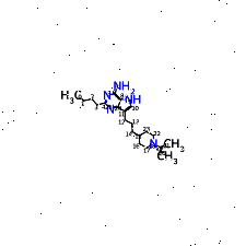 CCCCc1nc(N)c2[nH]cc(CCCC3CCN(C(C)C)CC3)c2n1